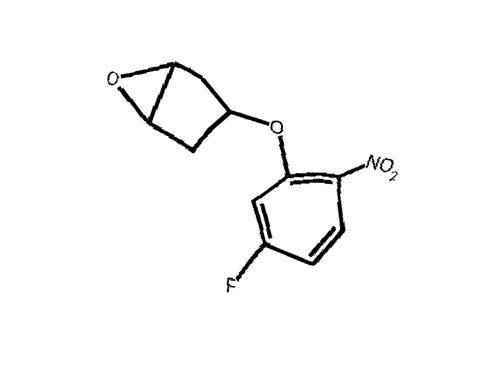 O=[N+]([O-])c1ccc(F)cc1OC1CC2OC2C1